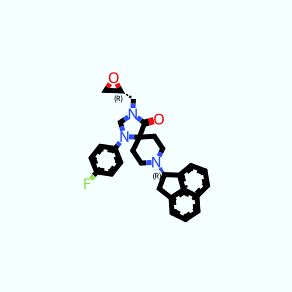 O=C1N(C[C@@H]2CO2)CN(c2ccc(F)cc2)C12CCN([C@@H]1Cc3cccc4cccc1c34)CC2